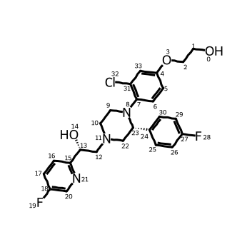 OCCOc1ccc(N2CCN(C[C@@H](O)c3ccc(F)cn3)C[C@H]2c2ccc(F)cc2)c(Cl)c1